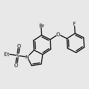 CCS(=O)(=O)n1ccc2cc(Oc3ccccc3F)c(Br)cc21